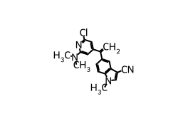 C=C(c1cc(Cl)nc(N(C)C)c1)c1ccc2c(c1)c(C#N)cn2C